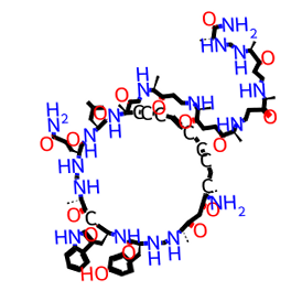 CC(C)C[C@@H]1NC(=O)[C@H](CCC(N)=O)NCN[C@@H](C)C(=O)CC(=O)[C@H](Cc2c[nH]c3ccccc23)NC(=O)[C@H](Cc2ccc(O)cc2)NCN[C@@H](C)C(=O)CC(=O)[C@](C)(N)CCCCCC/C=C/CCC[C@@](C)(C(=O)CN[C@@H](C)C(=O)CCN[C@@H](C)C(=O)CCC(=O)[C@H](C)NCCC(=O)[C@H](C)NCCC(=O)[C@H](C)NCN[C@H](C)C(N)=O)NC1=O